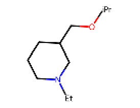 CCN1CCCC(COC(C)C)C1